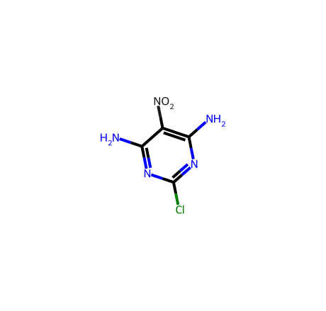 Nc1nc(Cl)nc(N)c1[N+](=O)[O-]